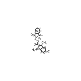 Cc1c(C(=O)OCN2C(=O)C3=C(C4CCC3CC4)S2(=O)=O)n(C)c2ccc(Cl)cc12